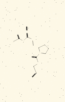 C=CCOC(=O)N1C[C@@H](S)C[C@H]1COC(=C=O)NC(N)=O